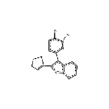 CC(C)n1nc(-c2c(C3=CCCC3)nn3ccccc23)ccc1=O